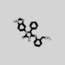 CCc1ccccc1N=C1NC(=S)N(c2ccc3[nH]cnc3c2)C1c1ccccc1